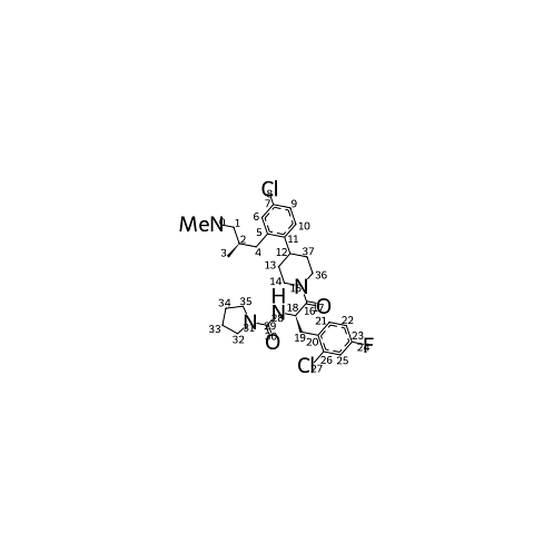 CNC[C@H](C)Cc1cc(Cl)ccc1C1CCN(C(=O)[C@@H](Cc2ccc(F)cc2Cl)NC(=O)N2CCCC2)CC1